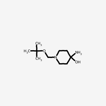 CC(C)(C)OCN1CCC(N)(O)CC1